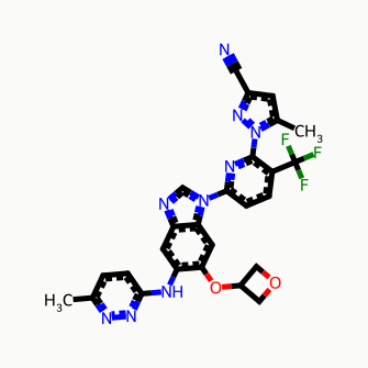 Cc1ccc(Nc2cc3ncn(-c4ccc(C(F)(F)F)c(-n5nc(C#N)cc5C)n4)c3cc2OC2COC2)nn1